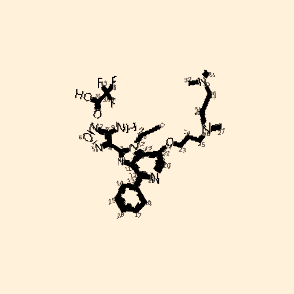 CCn1c(-c2nonc2N)nc2c(-c3ccccc3)ncc(OCCCN(C)CCN(C)C)c21.O=C(O)C(F)(F)F